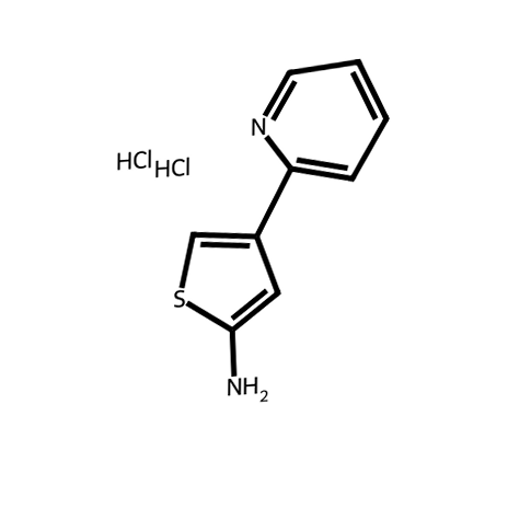 Cl.Cl.Nc1cc(-c2ccccn2)cs1